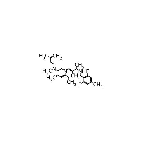 C=C/C=C(/C=C)N(/C=C(\C)C(=C)NCc1c(F)cc(C)cc1F)CCN(C)CCC(=C)C